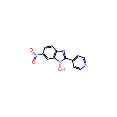 O=[N+]([O-])c1ccc2nc(-c3ccncc3)n(O)c2c1